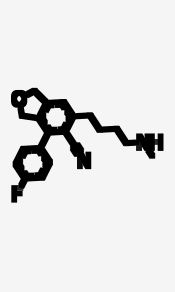 CNCCCCc1cc2c(c(-c3ccc(F)cc3)c1C#N)COC2